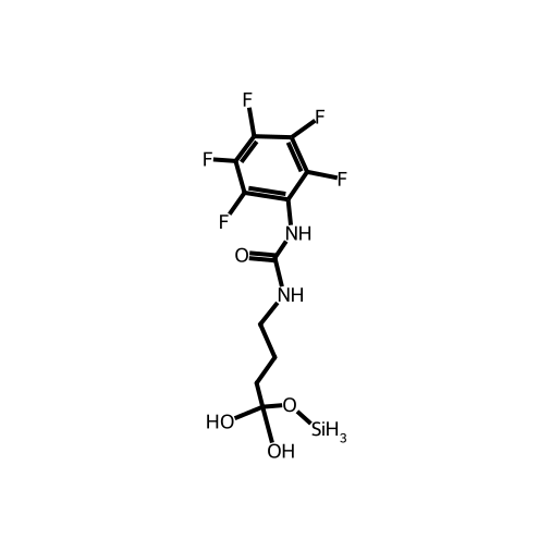 O=C(NCCCC(O)(O)O[SiH3])Nc1c(F)c(F)c(F)c(F)c1F